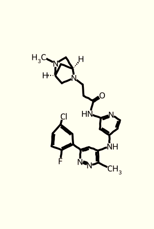 Cc1nnc(-c2cc(Cl)ccc2F)cc1Nc1ccnc(NC(=O)CCN2C[C@@H]3C[C@H]2CN3C)c1